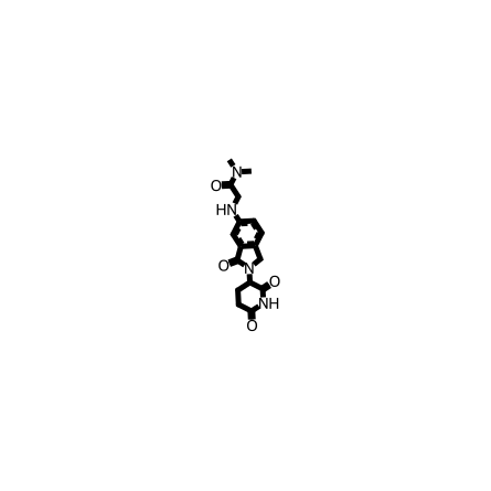 CN(C)C(=O)CNc1ccc2c(c1)C(=O)N(C1CCC(=O)NC1=O)C2